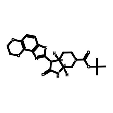 CC(C)(C)OC(=O)N1CC[C@@H]2[C@H](C1)NC(=O)N2c1nc2c3c(ccc2s1)OCCO3